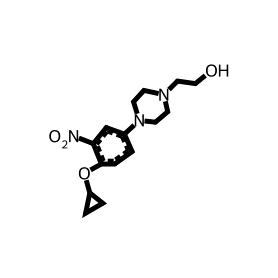 O=[N+]([O-])c1cc(N2CCN(CCO)CC2)ccc1OC1CC1